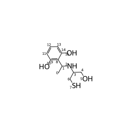 CC(NC(CO)CS)c1c(O)cccc1O